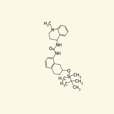 CN1CCC(NC(=O)Nc2cccc3c2CC(O[Si](C)(C)C(C)(C)C)CC3)c2ccccc21